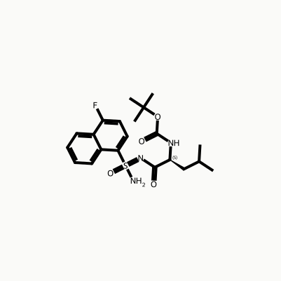 CC(C)C[C@H](NC(=O)OC(C)(C)C)C(=O)N=S(N)(=O)c1ccc(F)c2ccccc12